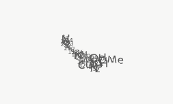 COc1ccc2nccc([C@H](O)CC[C@@H]3CCN(CCCCCc4ccncc4)C[C@H]3CCC(=O)O)c2c1